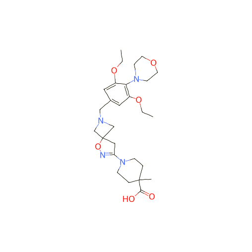 CCOc1cc(CN2CC3(CC(N4CCC(C)(C(=O)O)CC4)=NO3)C2)cc(OCC)c1N1CCOCC1